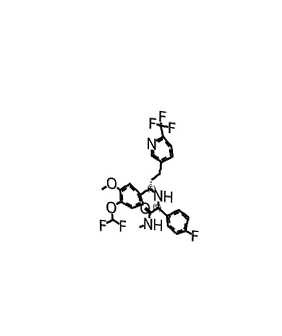 CNC(=O)[C@@H](N[C@@H](CCc1ccc(C(F)(F)F)nc1)c1ccc(OC(F)F)c(OC)c1)c1ccc(F)cc1